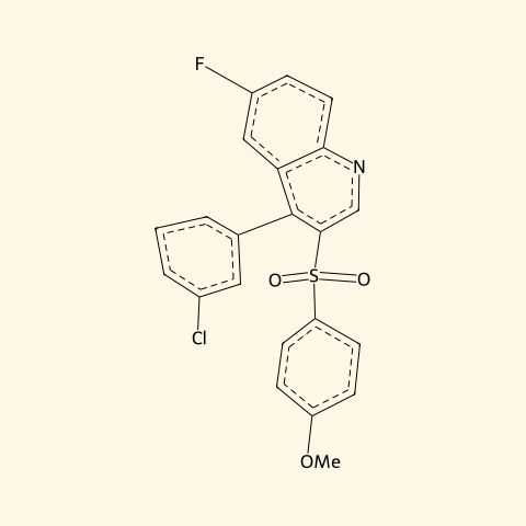 COc1ccc(S(=O)(=O)c2cnc3ccc(F)cc3c2-c2cccc(Cl)c2)cc1